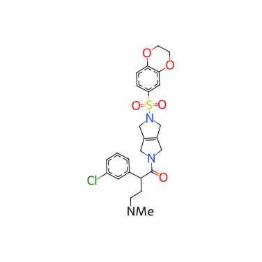 CNCCC(C(=O)N1CC2=C(C1)CN(S(=O)(=O)c1ccc3c(c1)OCCO3)C2)c1cccc(Cl)c1